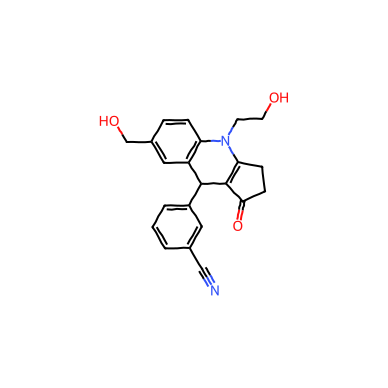 N#Cc1cccc(C2C3=C(CCC3=O)N(CCO)c3ccc(CO)cc32)c1